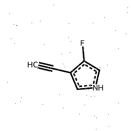 C#Cc1c[nH]cc1F